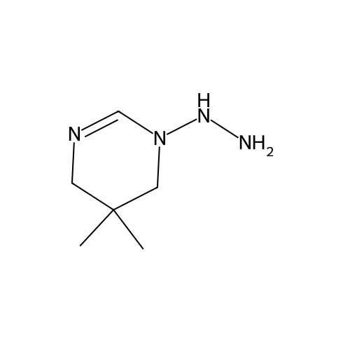 CC1(C)CN=CN(NN)C1